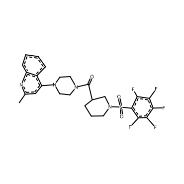 Cc1cc(N2CCN(C(=O)C3CCCN(S(=O)(=O)c4c(F)c(F)c(F)c(F)c4F)C3)CC2)c2ccccc2n1